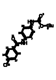 CC(C)(C)OC(=O)Nc1ccc(NC(=O)c2ccc(Cl)cc2)cc1